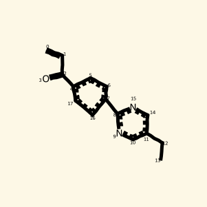 C=CC(=O)c1ccc(-c2ncc(CC)cn2)cc1